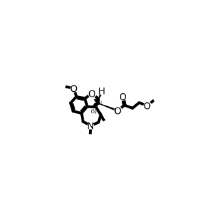 COCCC(=O)O[C@@H]1C[C@@H]2Oc3c(OC)ccc4c3[C@]2(CCN(C)C4)C1C